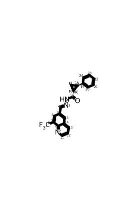 O=C(NN=Cc1cc(C(F)(F)F)c2ncccc2c1)[C@@H]1C[C@H]1c1ccccc1